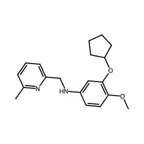 COc1ccc(NCc2cccc(C)n2)cc1OC1CCCC1